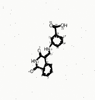 O=C1NC(=O)c2ccccc2C1=CNc1cccc(C(=O)O)c1